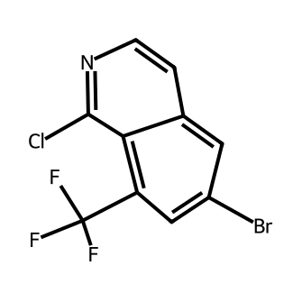 FC(F)(F)c1cc(Br)cc2ccnc(Cl)c12